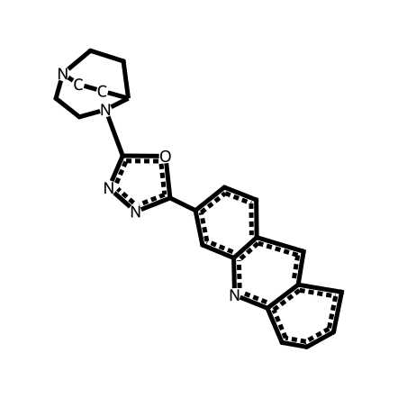 c1ccc2nc3cc(-c4nnc(N5CCN6CCC5CC6)o4)ccc3cc2c1